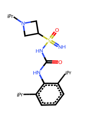 CC(C)c1cccc(C(C)C)c1NC(=O)NS(=N)(=O)C1CN(C(C)C)C1